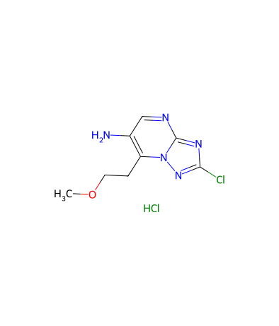 COCCc1c(N)cnc2nc(Cl)nn12.Cl